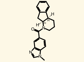 Cn1cnc2cc(C(=O)N3CCC[C@@H]4c5ccccc5C[C@@H]43)ccc21